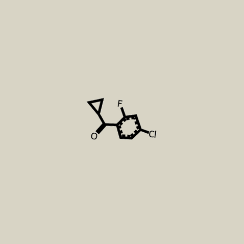 O=C(c1ccc(Cl)cc1F)C1CC1